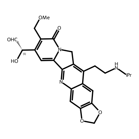 COCc1c([C@H](O)C=O)cc2n(c1=O)Cc1c-2nc2cc3c(cc2c1CCNC(C)C)OCO3